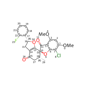 COc1cc(OC)c2c(c1Cl)O[C@]1(C2=O)C2=C(C[C@H](c3ccccc3F)O2)C(=O)C[C@H]1C